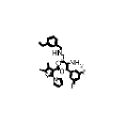 CCc1cccc(CNC[C@@H](OC(=O)c2c(-n3cccc3)sc(C)c2C)[C@@H](N)Cc2cc(F)cc(F)c2)c1